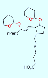 CCCCCC(C=C[C@H]1C(OC2CCCCO2)CC[C@@H]1CC=CCCCC(=O)O)OC1CCCCO1